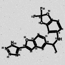 CC(Nc1ccc2c(c1)OC(F)(F)O2)c1ccc2oc(-c3nnn[nH]3)cc2c1